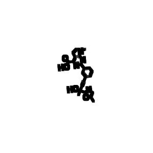 Cc1cnc(C(C)(O)C#Cc2cccc(-c3nc(C(=O)O)c4ccn(C)c4n3)c2)o1